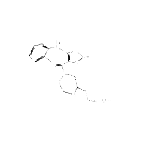 CCc1nc2c(s1)Nc1ccccc1N=C2N1CCNC(CCOC)C1